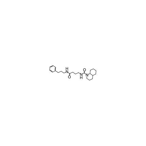 O=C(CCCNC(=O)N1CCCC2CCCCC21)NCCCc1ccccc1